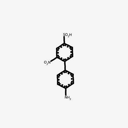 Nc1ccc(-c2ccc(S(=O)(=O)O)cc2[N+](=O)[O-])cc1